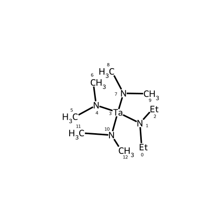 CC[N](CC)[Ta]([N](C)C)([N](C)C)[N](C)C